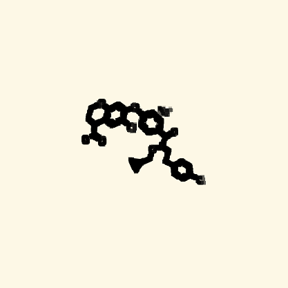 O=C([O-])C1CCOc2cc(Oc3ccc(C(=O)N(CCc4ccc(Cl)cc4)OCC4CC4)cc3)c(Cl)cc21.[Na+]